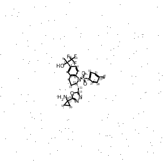 CC(O)(c1ccc2c(c1)CC[C@@H](Cc1nnc(C3(N)CC3)o1)N2S(=O)(=O)c1ccc(F)cc1)C(F)(F)F